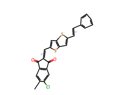 Cc1cc2c(cc1Cl)C(=O)/C(=C\c1cc3sc(/C=C/c4ccccc4)cc3s1)C2=O